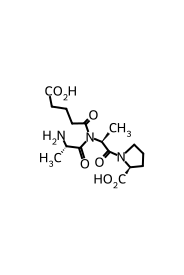 C[C@H](N)C(=O)N(C(=O)CCCC(=O)O)[C@@H](C)C(=O)N1CCC[C@H]1C(=O)O